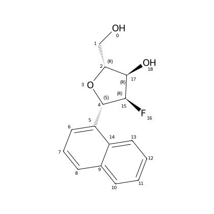 OC[C@H]1O[C@@H](c2cccc3ccccc23)[C@H](F)[C@@H]1O